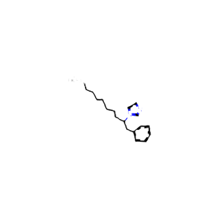 CCCCCCCCCCCCCCCCCC(Cc1ccccc1)n1ccnc1